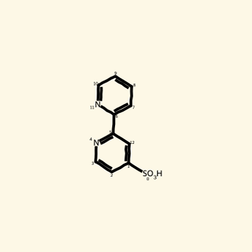 O=S(=O)(O)c1ccnc(-c2ccccn2)c1